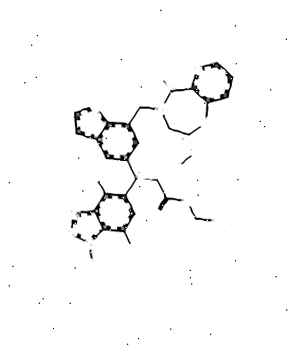 CCOC(=O)C[C@H](c1cc(CN2C[C@@H](CC)Oc3cccnc3[C@@H]2C)c2sccc2c1)c1cc(Cl)c2c(nnn2C)c1C